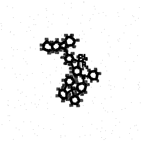 CC1(C)c2cc(N(c3ccccc3)c3ccc4c(c3)C3(c5ccccc5-c5ccccc53)c3ccccc3-4)ccc2-c2ccc(-n3c4ccccc4c4cc5ccccc5cc43)cc21